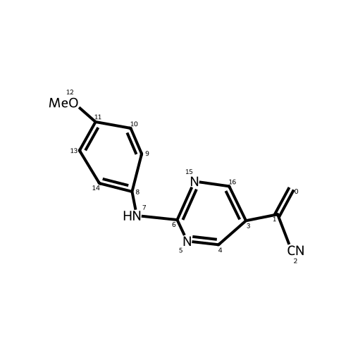 C=C(C#N)c1cnc(Nc2ccc(OC)cc2)nc1